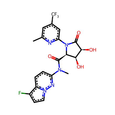 Cc1cc(C(F)(F)F)cc(N2C(=O)[C@@H](O)[C@@H](O)[C@H]2C(=O)N(C)c2ccc3c(F)ccn3n2)n1